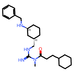 CN(C(=N)NC[C@H]1CCC[C@H](NCc2ccccc2)C1)C(=O)CCC1CCCCC1